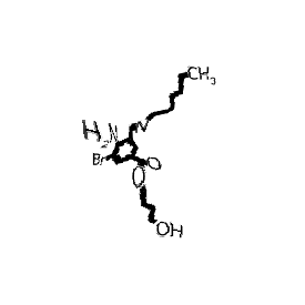 CCCCCCN=Cc1cc(C(=O)OCCCCO)cc(Br)c1N